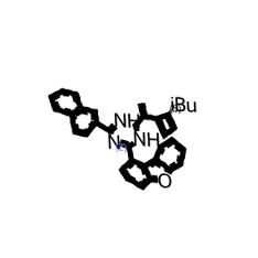 C=C(CN/C(=N\C(=N)c1ccc2ccccc2c1)c1cccc2oc3ccccc3c12)C1=CC=C1[C@@H](C)CC